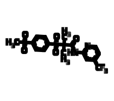 CC(C)(C(=O)Nc1cc(C(F)(F)F)ccn1)S(=O)(=O)c1ccc(S(C)(=O)=O)cc1